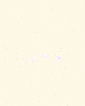 O=C(NC(Cc1ccccc1)C(=O)Nc1ccc(S(=O)(=O)Cl)cn1)c1ccc(F)cc1